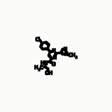 CC(CO)NC(=O)c1cc(-c2ccc(Cl)cc2)nc(-c2cnn(C)c2)n1